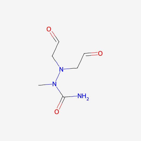 CN(C(N)=O)N(CC=O)CC=O